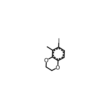 Cc1c(I)ccc2c1OCCO2